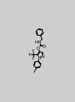 O=C(NCc1ccccc1)Oc1cnn(-c2ccc(F)cc2)c1C(F)(F)F